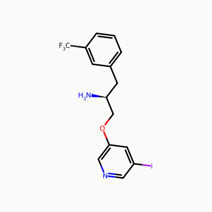 N[C@H](COc1cncc(I)c1)Cc1cccc(C(F)(F)F)c1